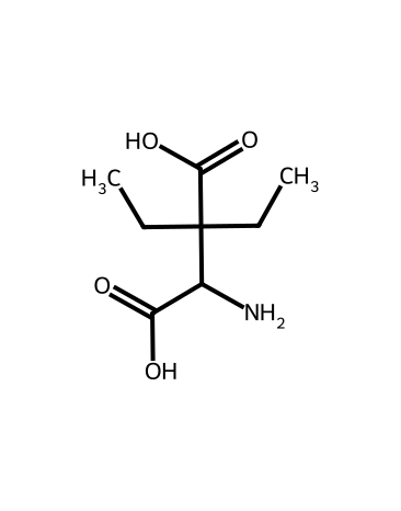 CCC(CC)(C(=O)O)C(N)C(=O)O